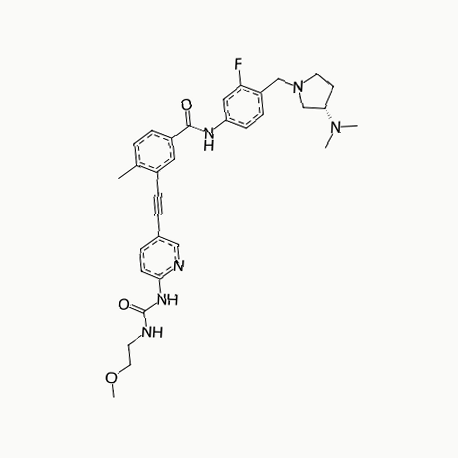 COCCNC(=O)Nc1ccc(C#Cc2cc(C(=O)Nc3ccc(CN4CC[C@H](N(C)C)C4)c(F)c3)ccc2C)cn1